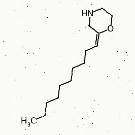 CCCCCCCCCC=C1CNCCO1